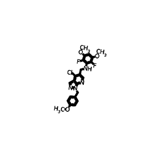 COc1ccc(Cn2ncc3c(Cl)c(CNc4c(F)c(OC)cc(OC)c4F)cnc32)cc1